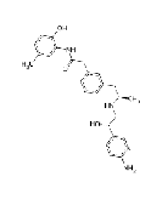 Cc1ccc(O)c(NC(=O)Cc2cccc(C[C@@H](C)NC[C@@H](O)c3ccc(N)nc3)c2)c1